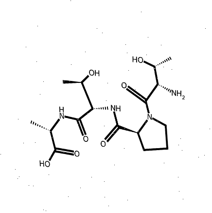 C[C@H](NC(=O)[C@@H](NC(=O)[C@@H]1CCCN1C(=O)[C@@H](N)[C@@H](C)O)[C@@H](C)O)C(=O)O